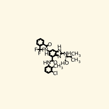 Cc1c(Cl)cccc1NC(=O)c1cc(NC(=O)c2ccccc2C(F)(F)F)cc2[nH]c(N[C@@H](CO)C(C)C)nc12